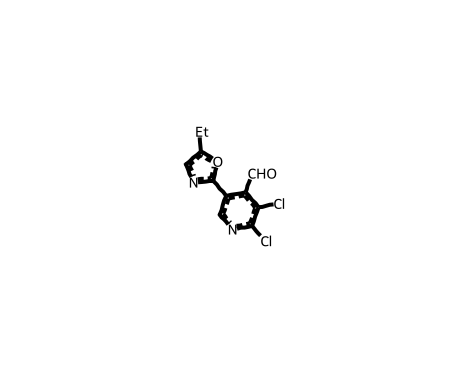 CCc1cnc(-c2cnc(Cl)c(Cl)c2C=O)o1